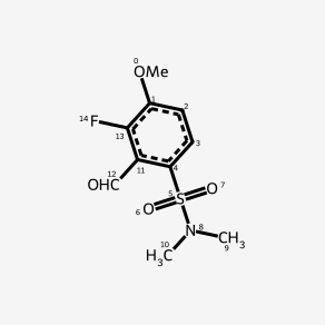 COc1ccc(S(=O)(=O)N(C)C)c(C=O)c1F